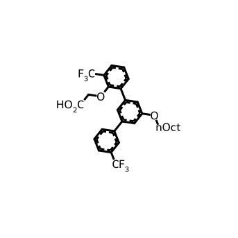 CCCCCCCCOc1cc(-c2cccc(C(F)(F)F)c2)cc(-c2cccc(C(F)(F)F)c2OCC(=O)O)c1